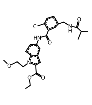 CCOC(=O)c1cc2cc(NC(=O)c3cc(CNC(=O)C(C)C)ccc3Cl)ccc2n1CCOC